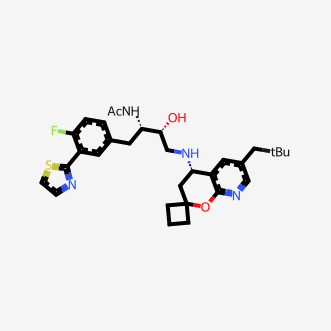 CC(=O)N[C@@H](Cc1ccc(F)c(-c2nccs2)c1)[C@H](O)CN[C@H]1CC2(CCC2)Oc2ncc(CC(C)(C)C)cc21